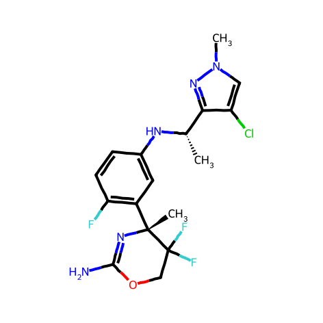 C[C@H](Nc1ccc(F)c([C@@]2(C)N=C(N)OCC2(F)F)c1)c1nn(C)cc1Cl